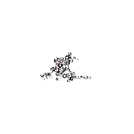 CNC(=O)CCc1cn(CCCCCC(=O)NC(CCCNC(=O)c2c(C)c(=O)ccn2CC(O)C(O)C(O)C(O)CO)(CCCNC(=O)c2c(OCc3ccccc3)c(=O)ccn2CO)CCCNC(=O)c2c(OCc3ccccc3)c(=O)ccn2COCO/C=C/O)nn1